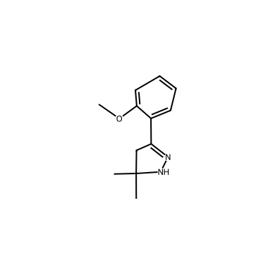 COc1ccccc1C1=NNC(C)(C)C1